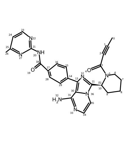 CC#CC(=O)N1CCCC[C@H]1c1nc(-c2ccc(C(=O)Nc3nccc(C)n3)cc2)c2c(N)nccn12